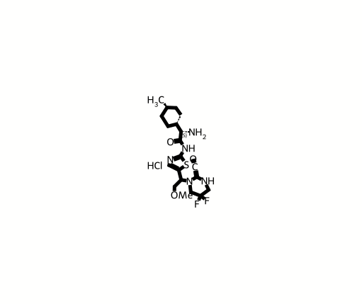 COCC(c1cnc(NC(=O)[C@@H](N)[C@H]2CC[C@H](C)CC2)s1)N1CC(F)(F)CNC1=C=O.Cl